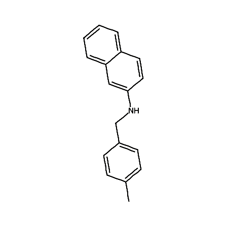 Cc1ccc(CNc2ccc3ccccc3c2)cc1